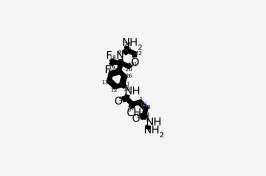 C=C(/C=C\C(=O)NN)C(=O)Nc1cccc(C2(C(F)F)COCC(N)=N2)c1